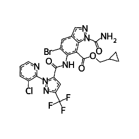 NC(=O)n1ncc2cc(Br)c(NC(=O)c3cc(C(F)(F)F)nn3-c3ncccc3Cl)c(C(=O)OCC3CC3)c21